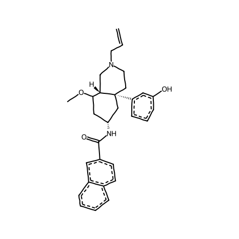 C=CCN1CC[C@@]2(c3cccc(O)c3)C[C@H](NC(=O)c3ccc4ccccc4c3)CC(OC)[C@@H]2C1